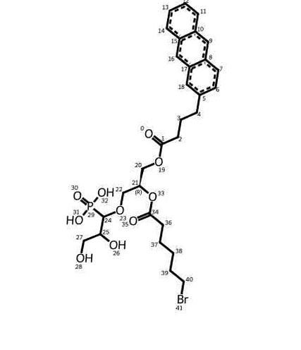 O=C(CCCc1ccc2cc3ccccc3cc2c1)OC[C@H](COC(C(O)CO)P(=O)(O)O)OC(=O)CCCCCBr